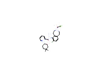 CC1(C)CCCC(OC(Nc2c(Cl)ccc3c2CCN(C(=O)C(F)(F)F)CC3)c2ccccn2)C1